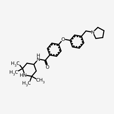 CC1(C)CC(NC(=O)c2ccc(Oc3cccc(CN4CCCC4)c3)cc2)CC(C)(C)N1